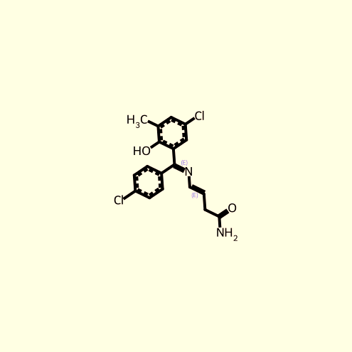 Cc1cc(Cl)cc(/C(=N/C=C/CC(N)=O)c2ccc(Cl)cc2)c1O